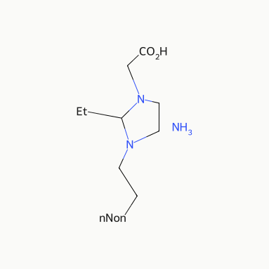 CCCCCCCCCCCN1CCN(CC(=O)O)C1CC.N